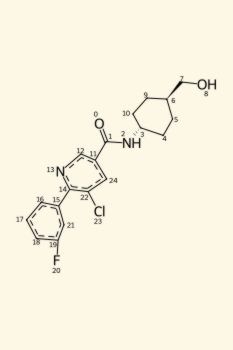 O=C(N[C@H]1CC[C@H](CO)CC1)c1cnc(-c2cccc(F)c2)c(Cl)c1